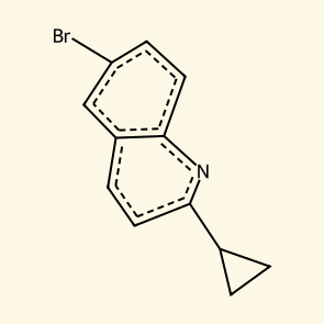 Brc1ccc2nc(C3CC3)ccc2c1